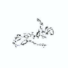 CCC(C)C(NC(=O)C1CCCCN1C)C(=O)N(COC(=O)CC(C)C)C(CC(OC(C)=O)c1nc(C(=O)NC(Cc2ccc(OC(=O)N(C)C(C)(C)C(=O)N(C)/N=C(\C)c3ccc(OCCOCCC(=O)O)cc3)cc2)CC(C)C)cs1)C(C)C